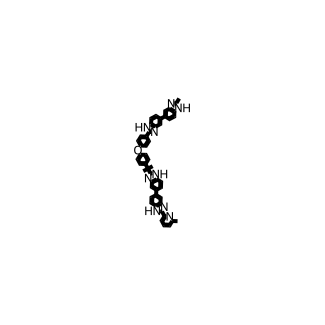 Cc1cccc(-c2nc3cc(-c4ccc5[nH]c(C(C)(C)c6ccc(Oc7ccc(-c8nc9cc(-c%10ccc%11[nH]c(C)nc%11c%10)ccc9[nH]8)cc7)cc6)nc5c4)ccc3[nH]2)n1